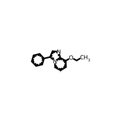 CCOc1c[c]cn2c(-c3ccccc3)cnc12